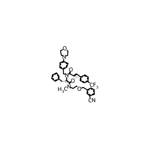 CN(CCOCc1cccc(C#N)c1)C(=O)[C@H](Cc1ccccc1)N(Cc1ccc(N2CCOCC2)cc1)C(=O)/C=C/c1ccc(C(F)(F)F)cc1